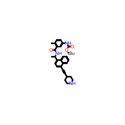 Cc1ccc(NC(=O)OC(C)(C)C)cc1C(=O)NC(C)c1ccc(C#CC2CCNCC2)c2ccccc12